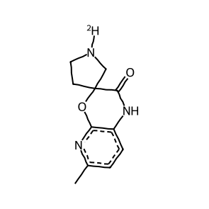 [2H]N1CCC2(C1)Oc1nc(C)ccc1NC2=O